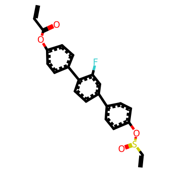 C=CC(=O)Oc1ccc(-c2ccc(-c3ccc(OS(=O)C=C)cc3)cc2F)cc1